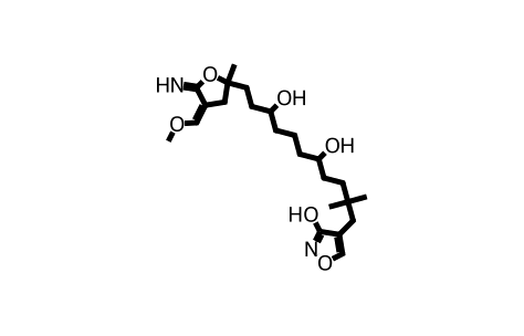 CO/C=C1/CC(C)(CCC(O)CCCC(O)CCC(C)(C)Cc2conc2O)OC1=N